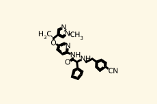 C[C@@H](Oc1ccc(NC(=O)C(NCCc2ccc(C#N)cc2)c2ccccc2)nc1)c1cnn(C)c1